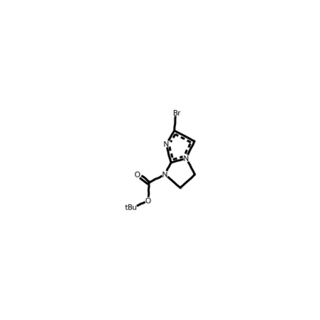 CC(C)(C)OC(=O)N1CCn2cc(Br)nc21